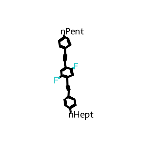 CCCCCCCc1ccc(C#Cc2cc(F)c(C#Cc3ccc(CCCCC)cc3)cc2F)cc1